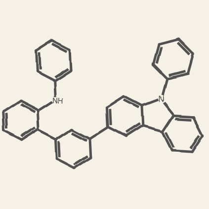 c1ccc(Nc2ccccc2-c2cccc(-c3ccc4c(c3)c3ccccc3n4-c3ccccc3)c2)cc1